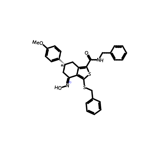 COc1ccc([C@H]2C/C(=N\O)c3c(SCc4ccccc4)sc(C(=O)NCc4ccccc4)c3C2)cc1